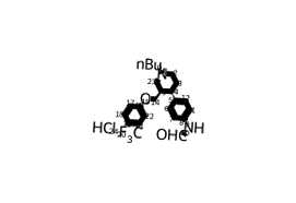 CCCCN1CC[C@H](c2ccc(NC=O)cc2)[C@@H](COc2ccc(C(F)(F)F)cc2)C1.Cl